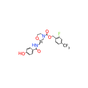 O=C(NC[C@@H]1CN(C(=O)OCc2ccc(C(F)(F)F)cc2F)CCO1)c1ccc(O)cc1